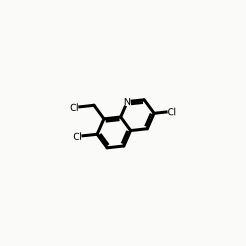 ClCc1c(Cl)ccc2cc(Cl)cnc12